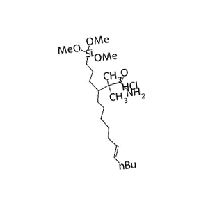 CCCCC=CCCCCCC(CCC[Si](OC)(OC)OC)C(C)(C)C(N)=O.Cl